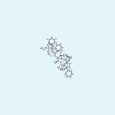 CC(C)(C)[Si](O[C@H]1CC[C@](C)([C@H]2CC[C@@]3(C)[C@@H](CC[C@@]3(O)c3ccccc3)[C@@H]2C=O)[C@@H](C=O)C1)(c1ccccc1)c1ccccc1